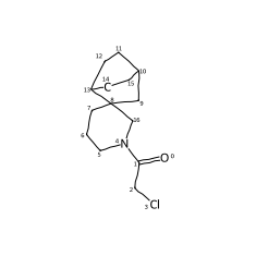 O=C(CCl)N1CCCC2(CC3CCC2CC3)C1